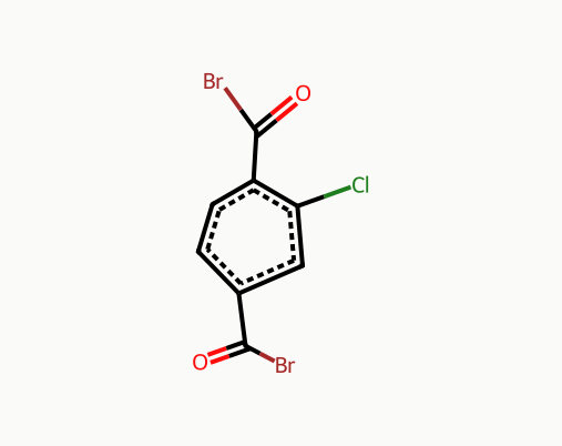 O=C(Br)c1ccc(C(=O)Br)c(Cl)c1